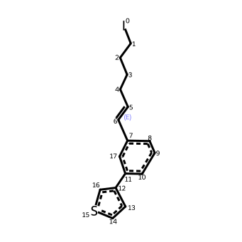 ICCCC/C=C/c1cccc(-c2ccsc2)c1